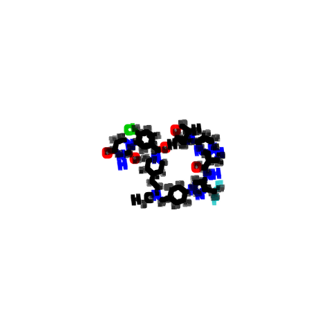 CN(CCC1CCN(C(=O)c2ccc(Cl)c(N3CCC(=O)NC3=O)c2)CC1)CC1CCC(n2cc(NC(=O)c3cnn4ccc(N5C[C@H]6C[C@@H]5CO6)nc34)c(C(F)F)n2)CC1